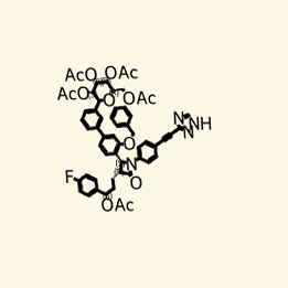 CC(=O)OC[C@H]1OC(c2cccc(-c3ccc([C@@H]4[C@@H](CC[C@H](OC(C)=O)c5ccc(F)cc5)C(=O)N4c4ccc(C#Cc5nc[nH]n5)cc4)c(OCc4ccccc4)c3)c2)[C@H](OC(C)=O)[C@@H](OC(C)=O)[C@@H]1OC(C)=O